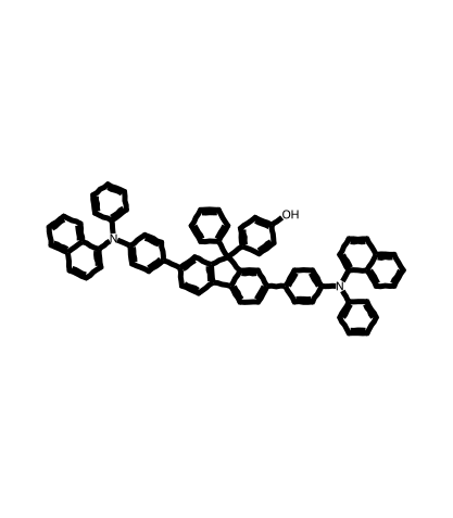 Oc1ccc(C2(c3ccccc3)c3cc(-c4ccc(N(c5ccccc5)c5cccc6ccccc56)cc4)ccc3-c3ccc(-c4ccc(N(c5ccccc5)c5cccc6ccccc56)cc4)cc32)cc1